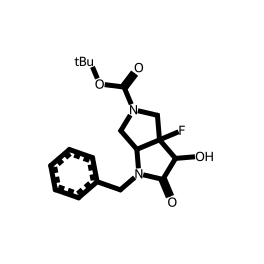 CC(C)(C)OC(=O)N1CC2N(Cc3ccccc3)C(=O)C(O)C2(F)C1